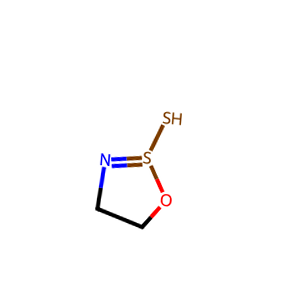 SS1=NCCO1